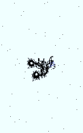 C/C=C\SN1CCN(Cc2ccccc2)CC1C(C)OCc1ccccc1